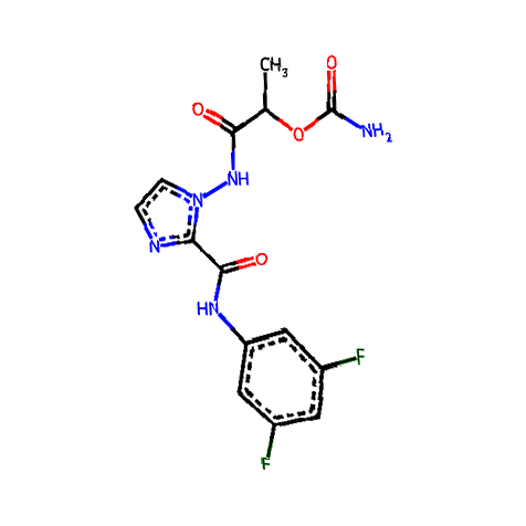 CC(OC(N)=O)C(=O)Nn1ccnc1C(=O)Nc1cc(F)cc(F)c1